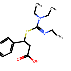 CCN=C(SC(CC(=O)O)c1ccccc1)N(CC)CC